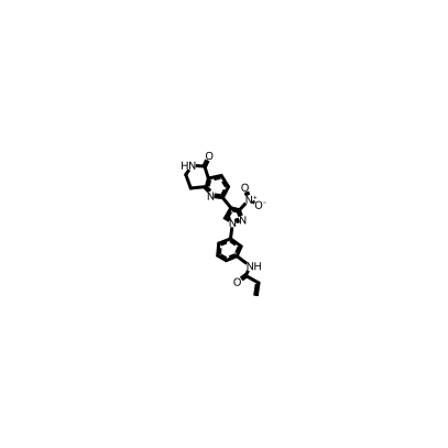 C=CC(=O)Nc1cccc(-n2cc(-c3ccc4c(n3)CCNC4=O)c([N+](=O)[O-])n2)c1